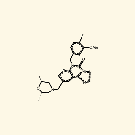 COc1cc(Cn2c(=O)n3ncnc3c3cc(CN4C[C@@H](C)O[C@@H](C)C4)cnc32)ccc1F